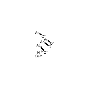 CC(=O)[O-].CC(=O)[O-].CC(=O)[O-].CC(=O)[O-].[Cu+2].[Ni+2]